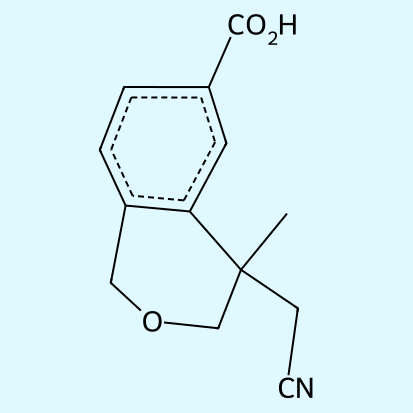 CC1(CC#N)COCc2ccc(C(=O)O)cc21